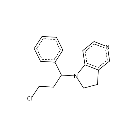 ClCCC(c1ccccc1)N1CCc2cnccc21